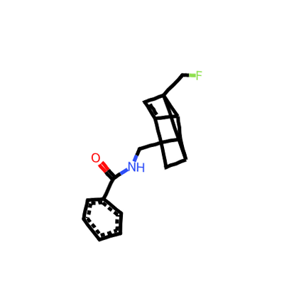 O=C(NCC12CC3C1C1C2=CC31CF)c1ccccc1